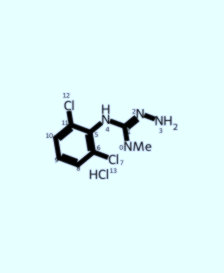 CN/C(=N\N)Nc1c(Cl)cccc1Cl.Cl